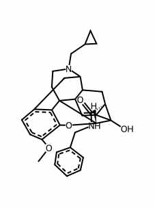 COc1ccc2c3c1O[C@@H]1C34CCN(CC3CC3)C(C2)C2C[C@]3(C(=O)NCc5ccccc5)C(=CC24)C13O